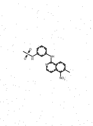 Cc1ccc2c(Nc3cccc(NS(C)(=O)=O)c3)nccc2c1[N+](=O)[O-]